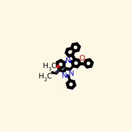 C=C/C=C(\CC)c1cc(-c2cc3c4ccccc4oc3c3c4c5ccccc5ccc4n(-c4ccccc4)c23)nc(-c2ccccc2)n1